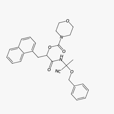 CC(C#N)(NC(=O)C(Cc1cccc2ccccc12)OC(=O)N1CCOCC1)OCc1ccccc1